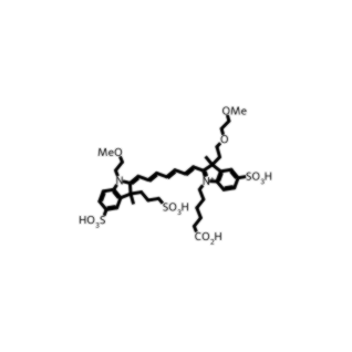 COCCOCCC1(C)C(/C=C/C=C/C=C/C=C2/N(CCOC)c3ccc(S(=O)(=O)O)cc3C2(C)CCCS(=O)(=O)O)=[N+](CCCCCC(=O)O)c2ccc(S(=O)(=O)O)cc21